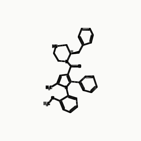 COc1ccccc1-n1c(C)cc(C(=O)N2CCNC[C@H]2Cc2ccccc2)c1-c1ccccc1